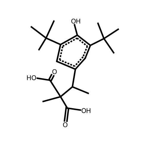 CC(c1cc(C(C)(C)C)c(O)c(C(C)(C)C)c1)C(C)(C(=O)O)C(=O)O